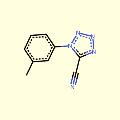 Cc1cccc(-n2nnnc2C#N)c1